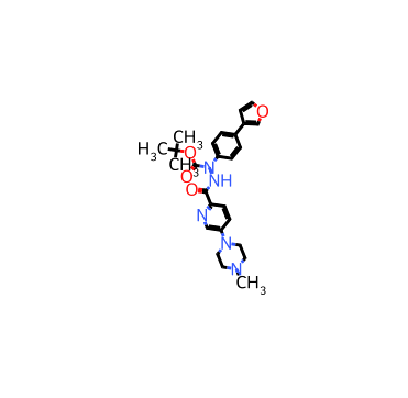 CN1CCN(c2ccc(C(=O)NN(C(=O)OC(C)(C)C)c3ccc(-c4ccoc4)cc3)nc2)CC1